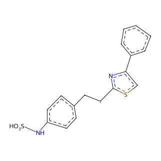 O=S(=O)(O)Nc1ccc(C[CH]c2nc(-c3ccccc3)cs2)cc1